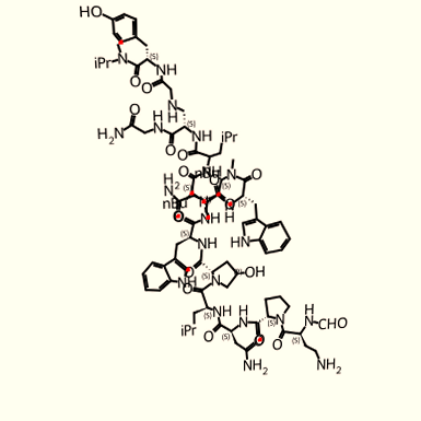 CCCC[C@@H](C(=O)N(C)[C@@H](CCCC)C(=O)NC(CC(C)C)C(=O)N[C@@H](CNCC(=O)N[C@@H](Cc1ccc(O)cc1)C(=O)N(C)C(C)C)C(=O)NCC(N)=O)N(C)C(=O)[C@H](Cc1c[nH]c2ccccc12)NC(=O)[C@H](CC(N)=O)NC(=O)[C@H](Cc1c[nH]c2ccccc12)NC(=O)[C@@H]1C[C@@H](O)CN1C(=O)[C@H](CC(C)C)NC(=O)[C@H](CC(N)=O)NC(=O)[C@@H]1CCCN1C(=O)[C@H](CCN)NC=O